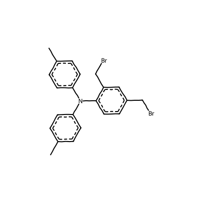 Cc1ccc(N(c2ccc(C)cc2)c2ccc(CBr)cc2CBr)cc1